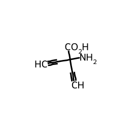 C#CC(N)(C#C)C(=O)O